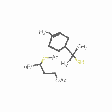 CC1=CCC(C(C)(C)S)CC1.CCCC(CCOC(C)=O)SC(C)=O